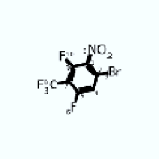 O=[N+]([O-])c1c(Br)cc(F)c(C(F)(F)F)c1F